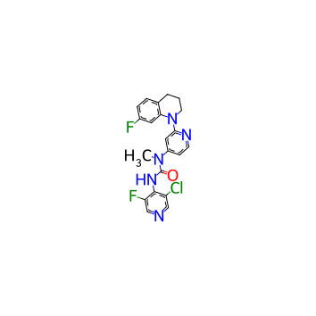 CN(C(=O)Nc1c(F)cncc1Cl)c1ccnc(N2CCCc3ccc(F)cc32)c1